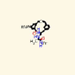 CNc1cc2cc(c1)C(=O)NC(CN[C@@H](C)C(=O)NC(C)C)Cc1cccc(c1)CCCC2